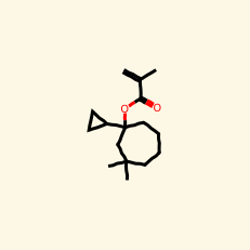 C=C(C)C(=O)OC1(C2CC2)CCCCC(C)(C)C1